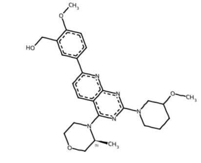 COc1ccc(-c2ccc3c(N4CCOC[C@@H]4C)nc(N4CCCC(OC)C4)nc3n2)cc1CO